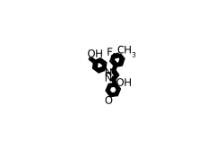 Cc1ccc(-c2cc(C3(O)CCC(=O)CC3)nn2-c2ccc(CO)cc2)cc1F